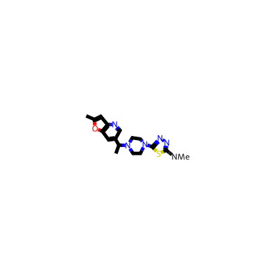 CNc1nnc(N2CCN(C(C)c3cnc4cc(C)oc4c3)CC2)s1